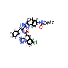 COC(=O)Nc1ccc(-c2nc([C@H](Cc3ccccc3)NC(=O)/C=C/c3cc(Cl)ccc3-n3cnnn3)[nH]c2C)cc1